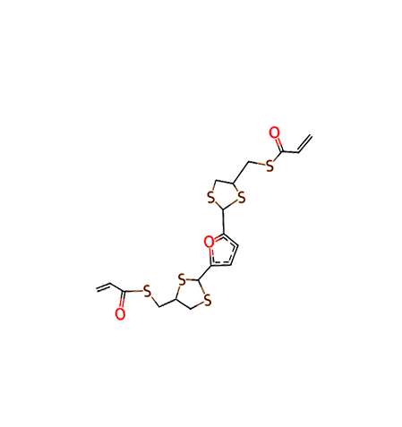 C=CC(=O)SCC1CSC(c2ccc(C3SCC(CSC(=O)C=C)S3)o2)S1